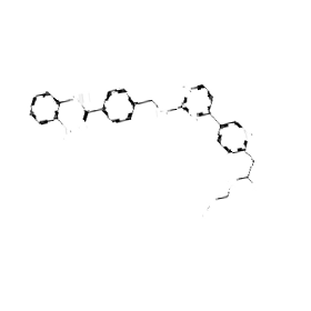 COCOC(C)Cc1ccc(-c2ccnc(NCc3ccc(C(=O)Nc4ccccc4N)cc3)n2)cn1